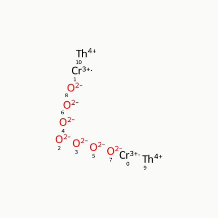 [Cr+3].[Cr+3].[O-2].[O-2].[O-2].[O-2].[O-2].[O-2].[O-2].[Th+4].[Th+4]